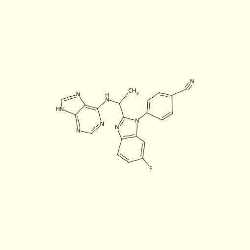 CC(Nc1ncnc2[nH]cnc12)c1nc2ccc(F)cc2n1-c1ccc(C#N)cc1